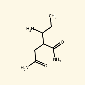 CCC(N)C(CC(N)=O)C(N)=O